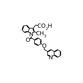 Cc1c(CC(=O)O)c2ccccc2n1C(=O)c1ccc(OCc2cnc3ccccc3c2)cc1